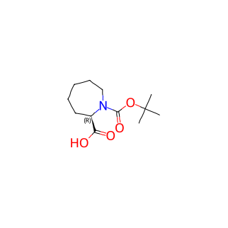 CC(C)(C)OC(=O)N1CCCCC[C@@H]1C(=O)O